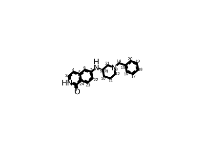 O=c1[nH]ccc2cc(N[C@@H]3CCCN(Cc4ccccc4)C3)ccc12